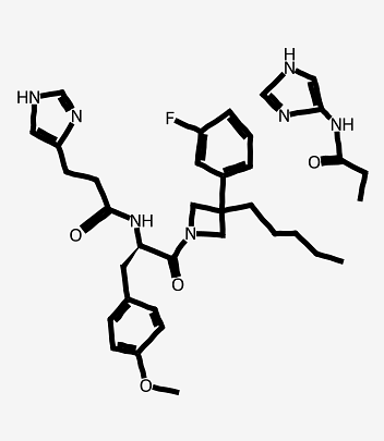 CCC(=O)Nc1c[nH]cn1.CCCCCC1(c2cccc(F)c2)CN(C(=O)[C@@H](Cc2ccc(OC)cc2)NC(=O)CCc2c[nH]cn2)C1